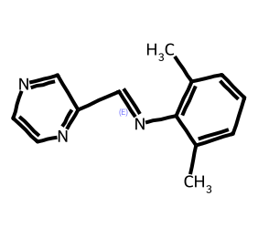 Cc1cccc(C)c1/N=C/c1cnccn1